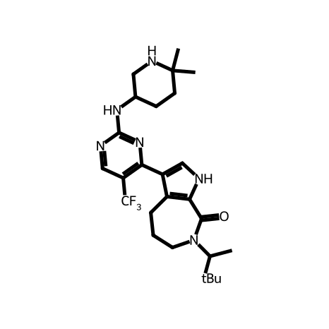 CC(N1CCCc2c(-c3nc(NC4CCC(C)(C)NC4)ncc3C(F)(F)F)c[nH]c2C1=O)C(C)(C)C